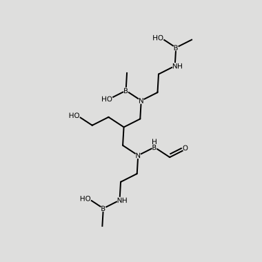 CB(O)NCCN(BC=O)CC(CCO)CN(CCNB(C)O)B(C)O